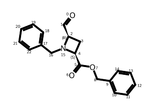 O=C[C@H]1C[C@@H](C(=O)OCc2ccccc2)N1Cc1ccccc1